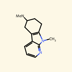 CNC1CCc2c(c3cccnc3n2C)C1